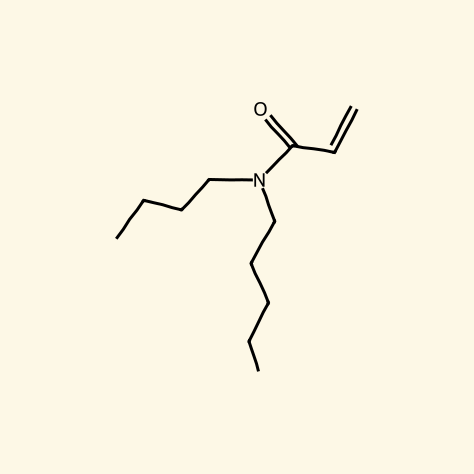 C=CC(=O)N(CCCC)CCCCC